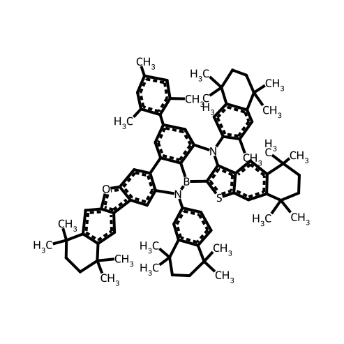 Cc1cc(C)c(-c2cc3c4c(c2)N(c2cc5c(cc2C)C(C)(C)CCC5(C)C)c2c(sc5cc6c(cc25)C(C)(C)CCC6(C)C)B4N(c2ccc4c(c2)C(C)(C)CCC4(C)C)c2cc4c(cc2-3)oc2cc3c(cc24)C(C)(C)CCC3(C)C)c(C)c1